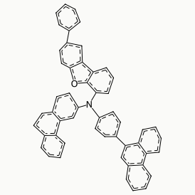 c1ccc(-c2ccc3oc4c(N(c5ccc(-c6cc7ccccc7c7ccccc67)cc5)c5ccc6ccc7ccccc7c6c5)cccc4c3c2)cc1